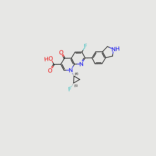 O=C(O)c1cn([C@@H]2C[C@@H]2F)c2nc(-c3ccc4c(c3)CNC4)c(F)cc2c1=O